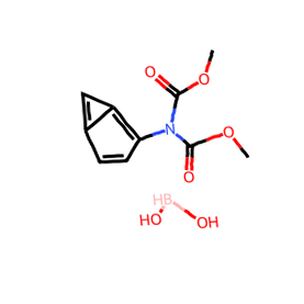 COC(=O)N(C(=O)OC)c1ccc2cc1-2.OBO